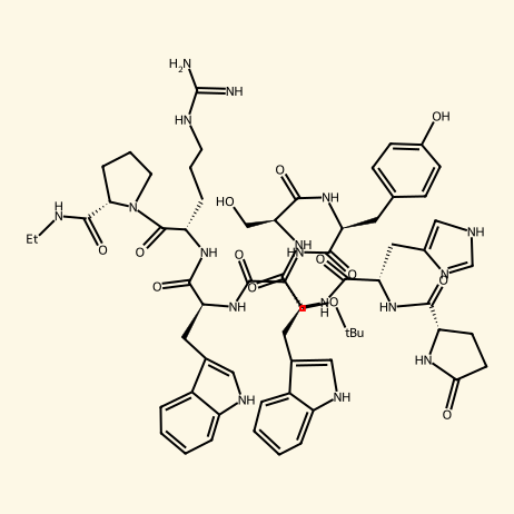 CCNC(=O)[C@@H]1CCCN1C(=O)[C@H](CCCNC(=N)N)NC(=O)[C@H](Cc1c[nH]c2ccccc12)NC(=O)[C@@H](COC(C)(C)C)NC(=O)[C@H](Cc1ccc(O)cc1)NC(=O)[C@H](CO)NC(=O)[C@H](Cc1c[nH]c2ccccc12)NC(=O)[C@H](Cc1c[nH]cn1)NC(=O)[C@@H]1CCC(=O)N1